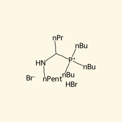 Br.CCCCCNC(CCC)[P+](CCCC)(CCCC)CCCC.[Br-]